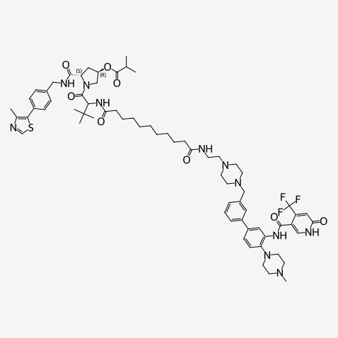 Cc1ncsc1-c1ccc(CNC(=O)[C@@H]2C[C@@H](OC(=O)C(C)C)CN2C(=O)C(NC(=O)CCCCCCCCCC(=O)NCCN2CCN(Cc3cccc(-c4ccc(N5CCN(C)CC5)c(NC(=O)c5c[nH]c(=O)cc5C(F)(F)F)c4)c3)CC2)C(C)(C)C)cc1